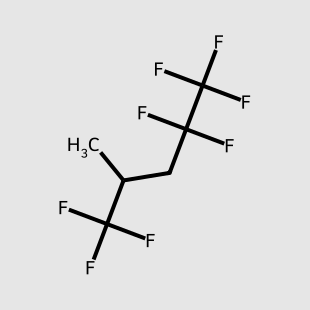 CC(CC(F)(F)C(F)(F)F)C(F)(F)F